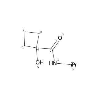 CC(C)NC(=O)C1(O)CCC1